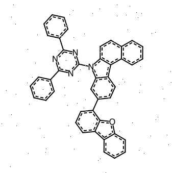 c1ccc(-c2nc(-c3ccccc3)nc(-n3c4cc(-c5cccc6c5oc5ccccc56)ccc4c4c5ccccc5ccc43)n2)cc1